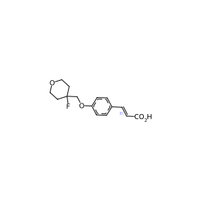 O=C(O)/C=C/c1ccc(OCC2(F)CCOCC2)cc1